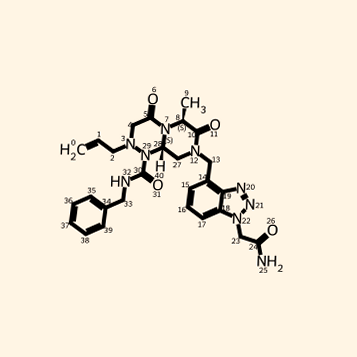 C=CCN1CC(=O)N2[C@@H](C)C(=O)N(Cc3cccc4c3nnn4CC(N)=O)C[C@@H]2N1C(=O)NCc1ccccc1